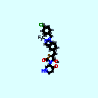 O=C1CCNCC1N1C(=O)SC(=Cc2ccc3c(cnn3Cc3ccc(Cl)cc3C(F)(F)F)c2)C1=O